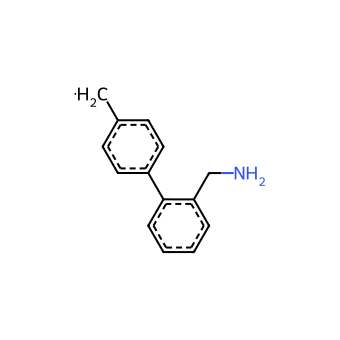 [CH2]c1ccc(-c2ccccc2CN)cc1